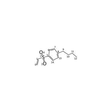 C=CS(=O)(=O)c1ccc(CCCC)cc1